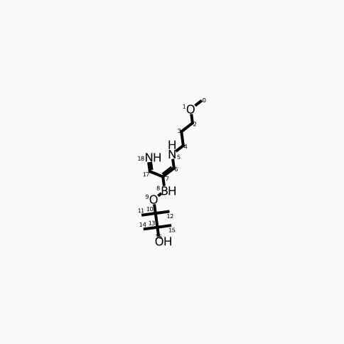 COCCCN/C=C(/BOC(C)(C)C(C)(C)O)C=N